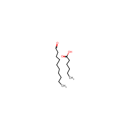 CCCCCC(=O)O.CCCCCCCCCC=O